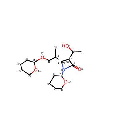 CC(O)[C@H]1C(=O)N(C2CCCCO2)[C@@H]1C(C)COC1CCCCO1